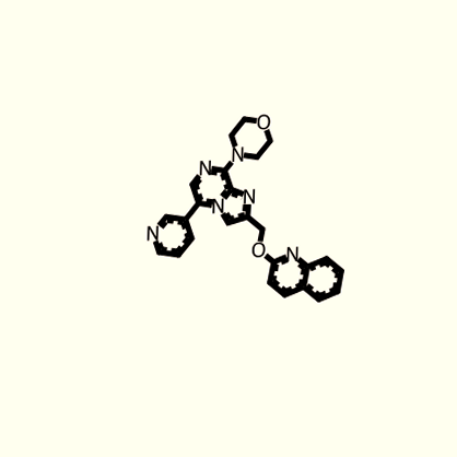 c1cncc(-c2cnc(N3CCOCC3)c3nc(COc4ccc5ccccc5n4)cn23)c1